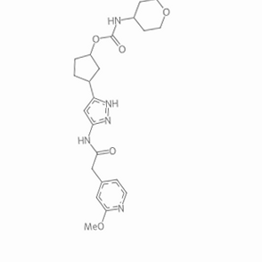 COc1cc(CC(=O)Nc2cc(C3CCC(OC(=O)NC4CCOCC4)C3)[nH]n2)ccn1